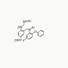 COc1ccc(NCNC(C)=O)c(CN(C(C)=O)c2cc(F)ccc2Oc2ccccc2)c1